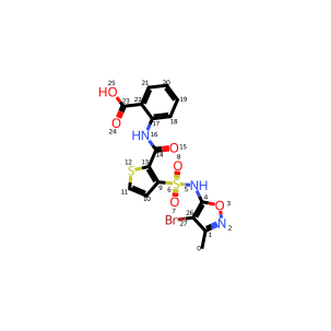 Cc1noc(NS(=O)(=O)c2ccsc2C(=O)Nc2ccccc2C(=O)O)c1Br